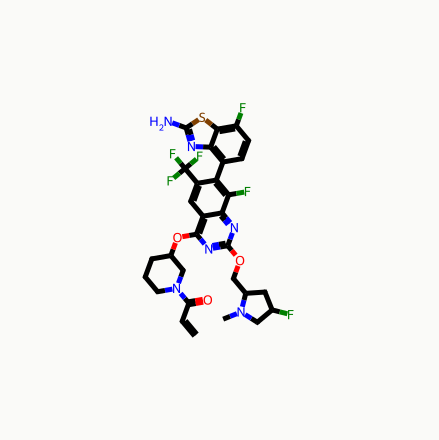 C=CC(=O)N1CCCC(Oc2nc(OCC3CC(F)CN3C)nc3c(F)c(-c4ccc(F)c5sc(N)nc45)c(C(F)(F)F)cc23)C1